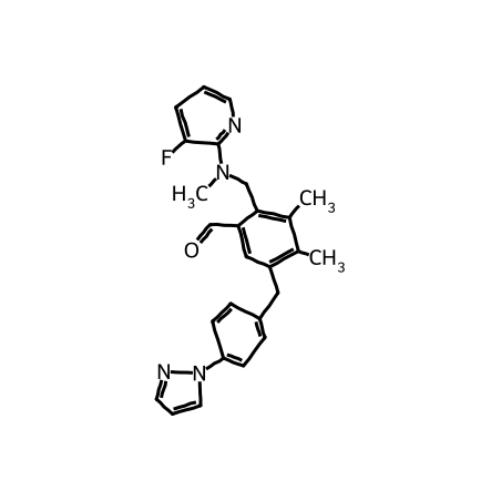 Cc1c(Cc2ccc(-n3cccn3)cc2)cc(C=O)c(CN(C)c2ncccc2F)c1C